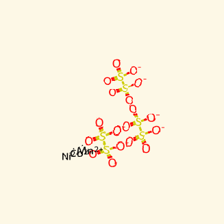 O=S(=O)([O-])S(=O)(=O)[O-].O=S(=O)([O-])S(=O)(=O)[O-].O=S(=O)([O-])S(=O)(=O)[O-].[Co+2].[Mn+2].[Ni+2]